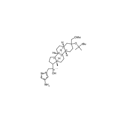 COCC1(O[Si](C)(C)C(C)(C)C)CC[C@H]2[C@H](CC[C@@H]3[C@@H]2CC[C@]2(C)C([C@@](C)(O)Cn4cc(N)cn4)CC[C@@H]32)C1